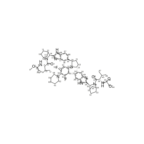 COC(=O)N[C@H](C(=O)N1C2CCC(C2)[C@H]1c1nc2cc([C@H]3CC[C@H](c4ccc5[nH]c([C@@H]6C7CCC(C7)N6C(=O)[C@@H](NC(=O)OC)C(C)C)nc5c4)N3c3cc(F)c(N4CCCCC4)c(F)c3)ccc2[nH]1)C(C)C